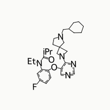 CCN(C(=O)C(C)C)c1cc(F)ccc1Oc1cncnc1N1CC2(CCN(CC3CCCCC3)C2)C1